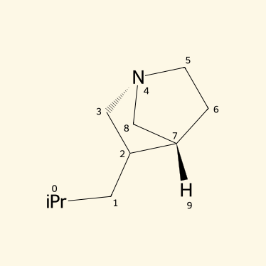 CC(C)CC1C[N@]2CC[C@H]1C2